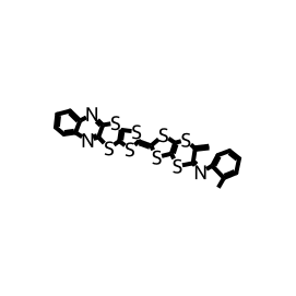 C=C1SC2=C(SC(=C3SC4=C(S3)Sc3nc5ccccc5nc3S4)S2)S/C1=N/c1ccccc1C